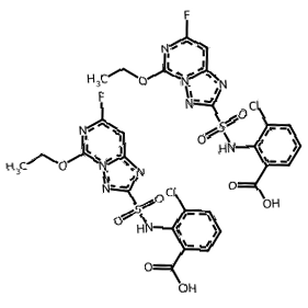 CCOc1nc(F)cc2nc(S(=O)(=O)Nc3c(Cl)cccc3C(=O)O)nn12.CCOc1nc(F)cc2nc(S(=O)(=O)Nc3c(Cl)cccc3C(=O)O)nn12